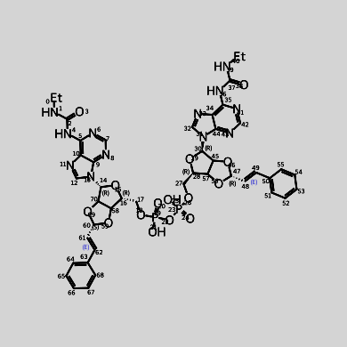 CCNC(=O)Nc1ncnc2c1ncn2[C@@H]1O[C@H](COP(=O)(O)OP(=O)(O)OC[C@H]2O[C@@H](n3cnc4c(NC(=O)NCC)ncnc43)C3O[C@H](/C=C/c4ccccc4)OC32)C2O[C@H](/C=C/c3ccccc3)OC21